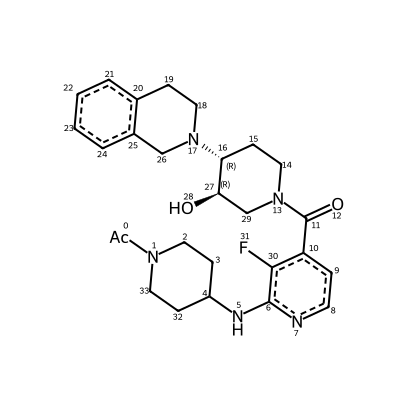 CC(=O)N1CCC(Nc2nccc(C(=O)N3CC[C@@H](N4CCc5ccccc5C4)[C@H](O)C3)c2F)CC1